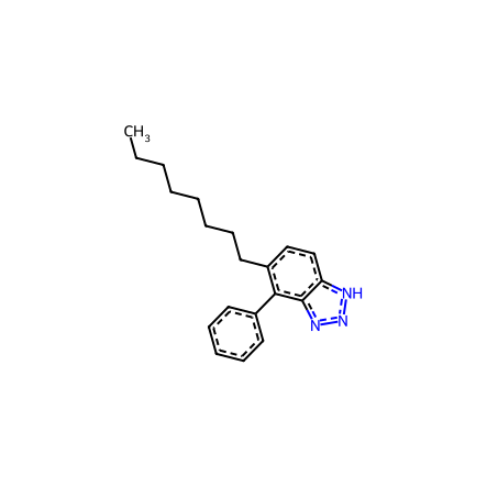 CCCCCCCCc1ccc2[nH]nnc2c1-c1ccccc1